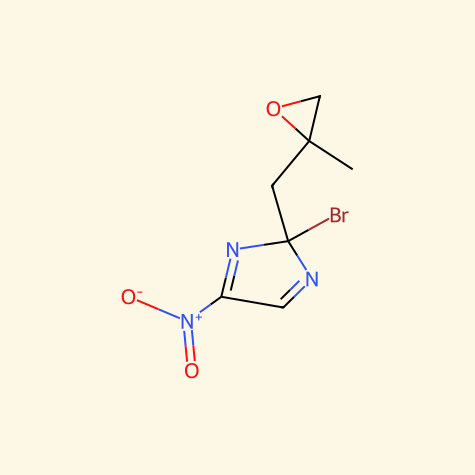 CC1(CC2(Br)N=CC([N+](=O)[O-])=N2)CO1